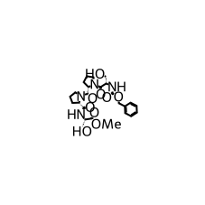 COC(=O)[C@H](CO)NC(=O)[C@@H]1CCCN1C(=O)[C@@H]1CCCN1C(=O)[C@H](CO)NC(=O)OCc1ccccc1